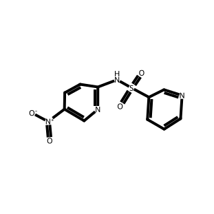 O=[N+]([O-])c1ccc(NS(=O)(=O)c2cccnc2)nc1